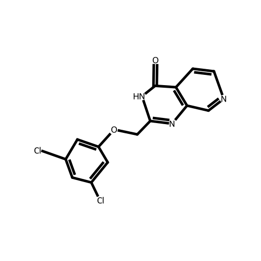 O=c1[nH]c(COc2cc(Cl)cc(Cl)c2)nc2cnccc12